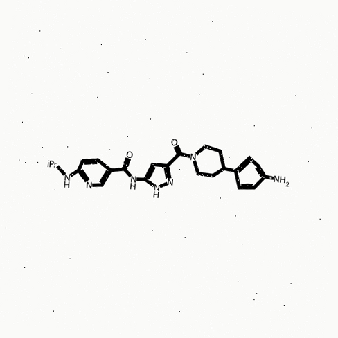 CC(C)Nc1ccc(C(=O)Nc2cc(C(=O)N3CCC(c4ccc(N)cc4)CC3)n[nH]2)cn1